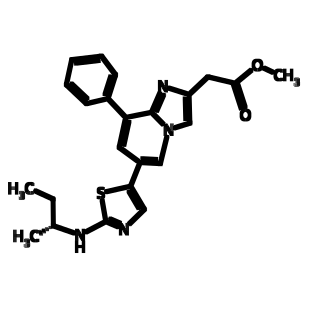 CC[C@@H](C)Nc1ncc(-c2cc(-c3ccccc3)c3nc(CC(=O)OC)cn3c2)s1